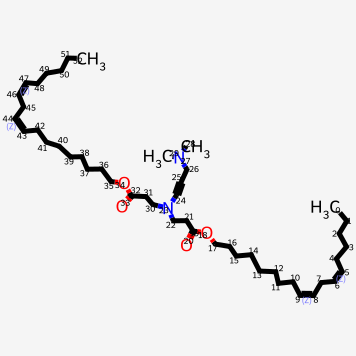 CCCCC/C=C\C/C=C\CCCCCCCCOC(=O)CCN(C#CCN(C)C)CCC(=O)OCCCCCCCC/C=C\C/C=C\CCCCC